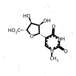 Cn1cc([C@@H]2O[C@H](C(=O)O)[C@@H](O)[C@H]2O)c(=O)[nH]c1=O